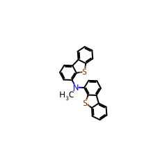 CN(c1cccc2c1sc1ccccc12)c1cccc2c1sc1ccccc12